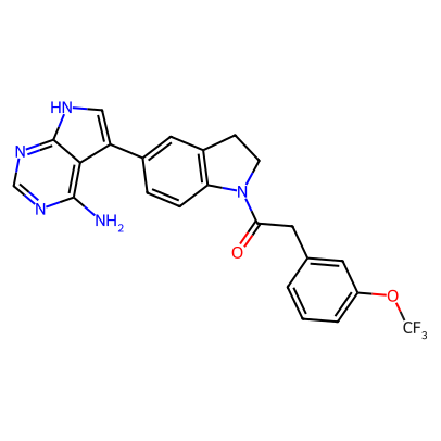 Nc1ncnc2[nH]cc(-c3ccc4c(c3)CCN4C(=O)Cc3cccc(OC(F)(F)F)c3)c12